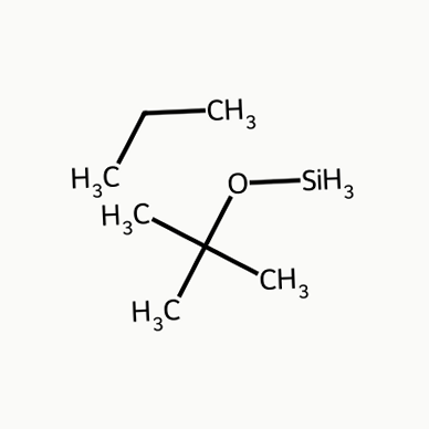 CC(C)(C)O[SiH3].CCC